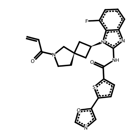 C=CC(=O)N1CC[C@]2(C1)C[C@H](n1c(NC(=O)c3ccc(-c4cnco4)s3)nc3cccc(F)c31)C2